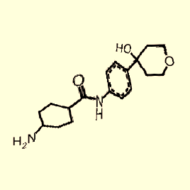 NC1CCC(C(=O)Nc2ccc(C3(O)CCOCC3)cc2)CC1